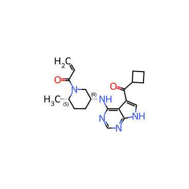 C=CC(=O)N1C[C@H](Nc2ncnc3[nH]cc(C(=O)C4CCC4)c23)CC[C@@H]1C